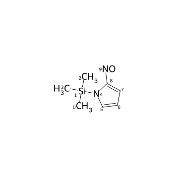 C[Si](C)(C)n1cccc1N=O